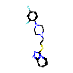 Fc1ccc(N2CCN(CCSc3nnc4ccccn34)CC2)c(F)c1